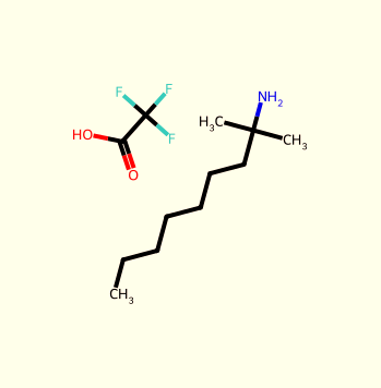 CCCCCCCC(C)(C)N.O=C(O)C(F)(F)F